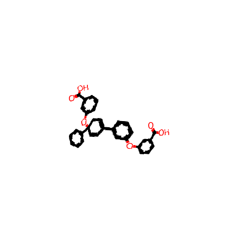 O=C(O)c1cccc(Oc2cccc(C3=CCC(Oc4cccc(C(=O)O)c4)(c4ccccc4)C=C3)c2)c1